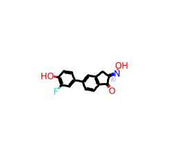 O=C1/C(=N/O)Cc2cc(-c3ccc(O)c(F)c3)ccc21